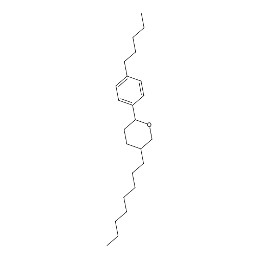 CCCCCCCCC1CCC(c2ccc(CCCCC)cc2)OC1